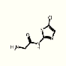 NCC(=O)Nc1ncc(Cl)s1